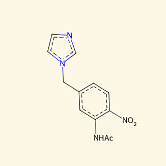 CC(=O)Nc1cc(Cn2ccnc2)ccc1[N+](=O)[O-]